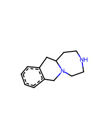 c1ccc2c(c1)CC1CCNCCN1C2